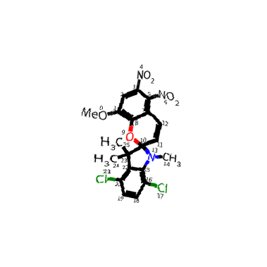 COc1cc([N+](=O)[O-])c([N+](=O)[O-])c2c1OC1(C=C2)N(C)c2c(Cl)ccc(Cl)c2C1(C)C